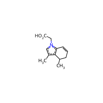 Cc1cn(CC(=O)O)c2c1C(C)CC=C2